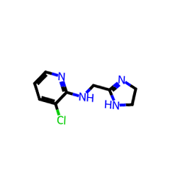 Clc1cccnc1NCC1=NCCN1